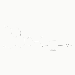 CCSCCC1CN(C(=O)Nc2ccc(OC)cc2)N=C1c1ccc(Cl)cc1